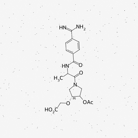 CC(=O)OC1CN(C(=O)C(C)NC(=O)c2ccc(C(=N)N)cc2)C[C@H]1OCC(=O)O